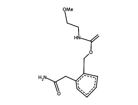 C=C(NCCOC)OCc1ccccc1CC(N)=O